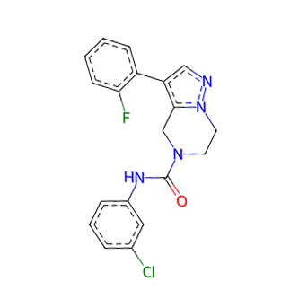 O=C(Nc1cccc(Cl)c1)N1CCn2ncc(-c3ccccc3F)c2C1